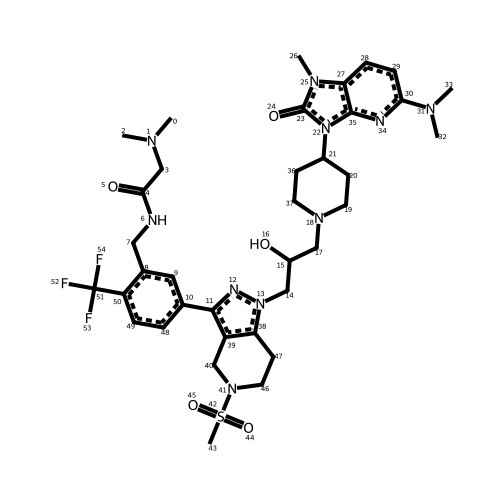 CN(C)CC(=O)NCc1cc(-c2nn(CC(O)CN3CCC(n4c(=O)n(C)c5ccc(N(C)C)nc54)CC3)c3c2CN(S(C)(=O)=O)CC3)ccc1C(F)(F)F